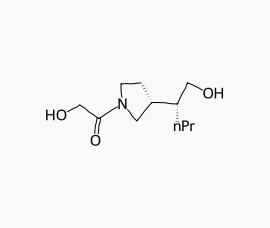 CCC[C@@H](CO)[C@H]1CCN(C(=O)CO)C1